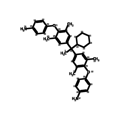 Cc1cc(C(C)(c2cc(C)c(Oc3ccc(N)cc3)c(C)c2)C2CCCCC2)cc(C)c1Oc1ccc(N)cc1